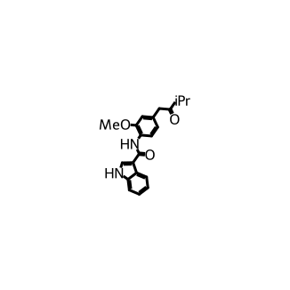 COc1cc(CC(=O)C(C)C)ccc1NC(=O)c1c[nH]c2ccccc12